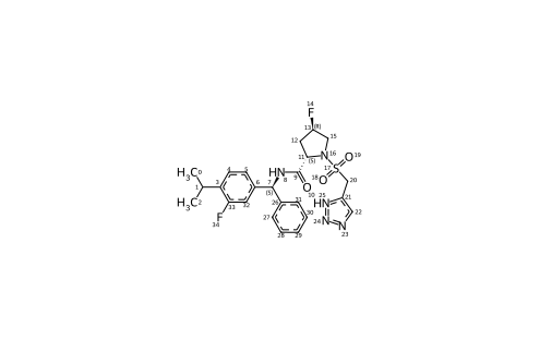 CC(C)c1ccc([C@@H](NC(=O)[C@@H]2C[C@@H](F)CN2S(=O)(=O)Cc2cnn[nH]2)c2ccccc2)cc1F